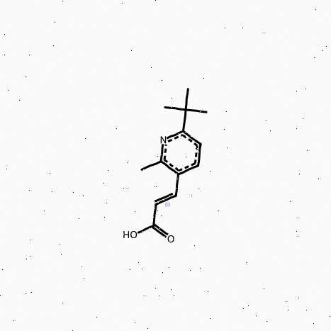 Cc1nc(C(C)(C)C)ccc1/C=C/C(=O)O